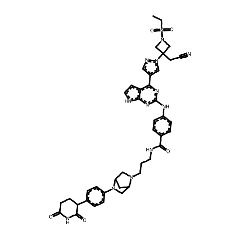 CCS(=O)(=O)N1CC(CC#N)(n2cc(-c3nc(Nc4ccc(C(=O)NCCCN5CC6CC5CN6c5ccc(C6CCC(=O)NC6=O)cc5)cc4)nc4[nH]ccc34)cn2)C1